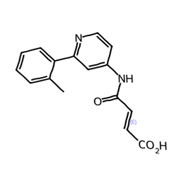 Cc1ccccc1-c1cc(NC(=O)/C=C/C(=O)O)ccn1